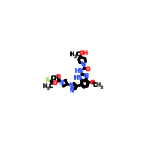 COc1ccc(-c2cnn(C3CN(C(=O)OC(C)(C)F)C3)c2)c2[nH]c(NC(=O)N3CCC(C)(O)CC3)nc12